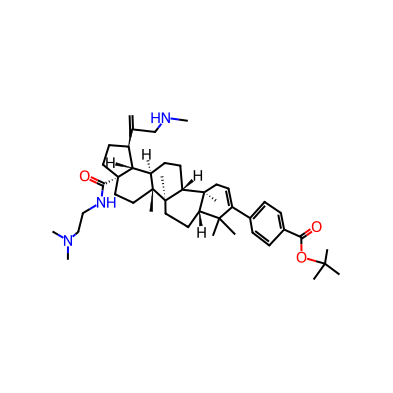 C=C(CNC)[C@@H]1CC[C@]2(C(=O)NCCN(C)C)CC[C@]3(C)[C@H](CC[C@@H]4[C@@]5(C)CC=C(c6ccc(C(=O)OC(C)(C)C)cc6)C(C)(C)[C@@H]5CC[C@]43C)[C@@H]12